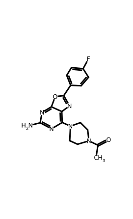 CC(=O)N1CCN(c2nc(N)nc3oc(-c4ccc(F)cc4)nc23)CC1